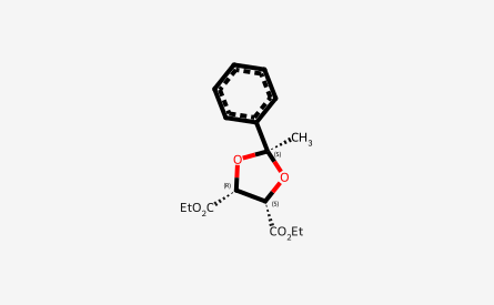 CCOC(=O)[C@H]1O[C@](C)(c2ccccc2)O[C@H]1C(=O)OCC